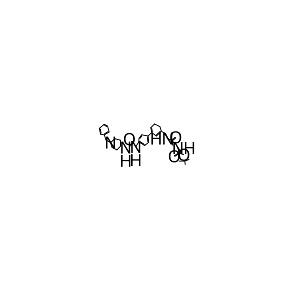 CC(C)(C)OC(=O)NCC(=O)NCC1=CC(c2ccc(NC(=O)NC3CCN(Cc4ccccc4)CC3)cc2)=CCC1